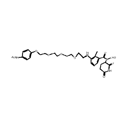 CC(=O)Nc1ccc(OCCOCCOCCOCCNc2cccc(C(=O)N(C=O)C3CCC(=O)NC3=O)c2C)cc1